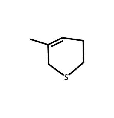 CC1=CCCSC1